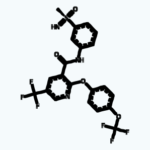 C[S@@](=N)(=O)c1cccc(NC(=O)c2cc(C(F)(F)F)cnc2Oc2ccc(OC(F)(F)F)cc2)c1